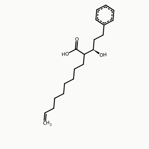 C=CCCCCCCCC(C(=O)O)[C@H](O)CCc1ccccc1